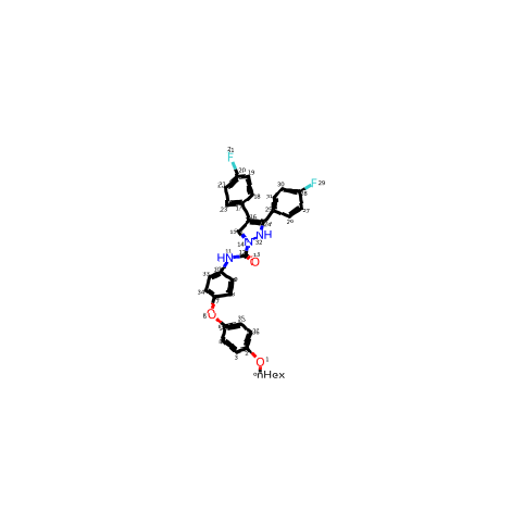 CCCCCCOc1ccc(Oc2ccc(NC(=O)N3CC(c4ccc(F)cc4)=C(c4ccc(F)cc4)N3)cc2)cc1